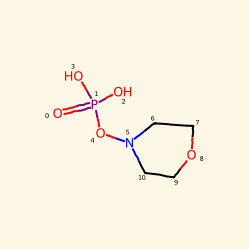 O=P(O)(O)ON1CCOCC1